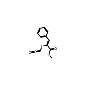 COC(=O)C(=Cc1ccccc1)OC=C=O